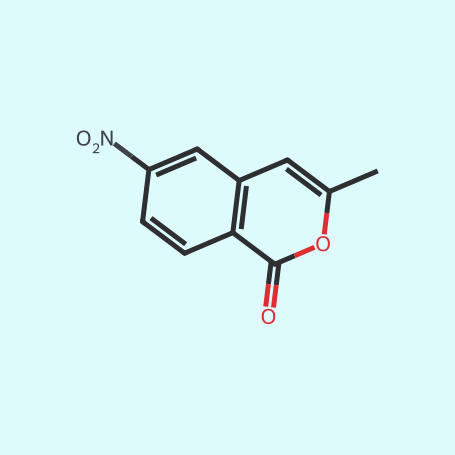 Cc1cc2cc([N+](=O)[O-])ccc2c(=O)o1